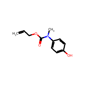 C=CCOC(=O)N(C)c1ccc(O)cc1